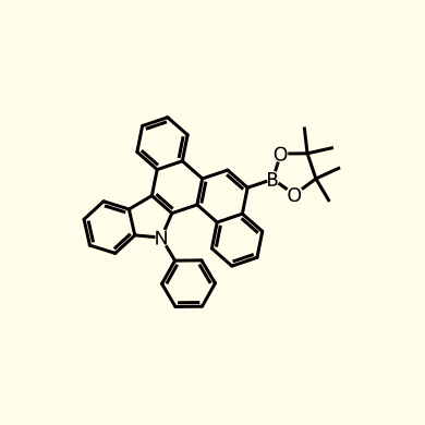 CC1(C)OB(c2cc3c4ccccc4c4c5ccccc5n(-c5ccccc5)c4c3c3ccccc23)OC1(C)C